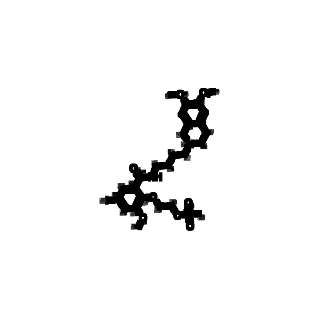 COc1cc2c(cc1OC)CN(CCCCNC(=O)c1cc(I)cc(OC)c1OCCOS(C)(=O)=O)CC2